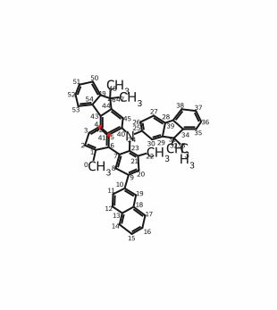 Cc1ccccc1-c1cc(-c2ccc3ccccc3c2)cc(C)c1N(c1ccc2c(c1)C(C)(C)c1ccccc1-2)c1ccc2c(c1)C(C)(C)c1ccccc1-2